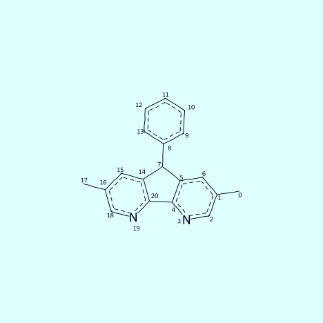 Cc1cnc2c(c1)C(c1ccccc1)c1cc(C)cnc1-2